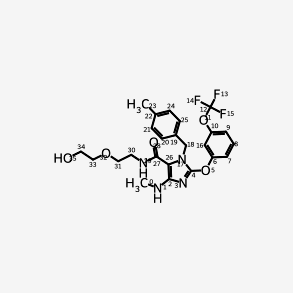 CNc1nc(Oc2cccc(OC(F)(F)F)c2)n(Cc2ccc(C)cc2)c1C(=O)NCCOCCO